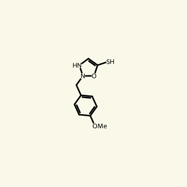 COc1ccc(CN2NC=C(S)O2)cc1